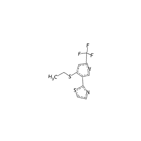 CCSc1cc(C(F)(F)F)ncc1-c1nccs1